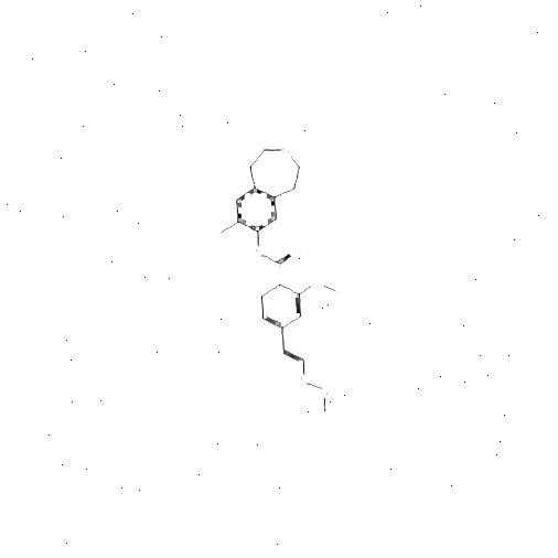 CNN/C=C/C1=CC[C@H](C(=O)Nc2cc3c(cc2C)CCNCC3)C(OC)=C1